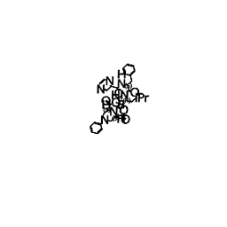 CC(C)C[C@H](NC(=O)[C@H](Cc1ccccc1)NC(=O)c1cnccn1)B1OC(=O)[C@@H]2CN(c3ccccc3)C[C@@H](C(=O)O1)N2C